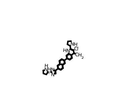 C=C1C(Cl)=C(C2CCCN2)Nc2cc(-c3ccc4cc(-c5cnc([C@@H]6CCCN6)[nH]5)ccc4c3)ccc21